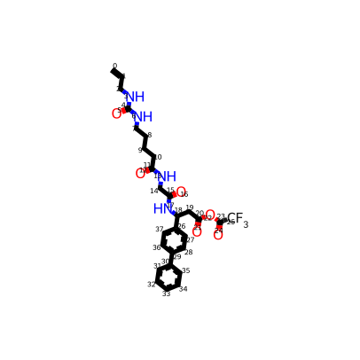 C=CCNC(=O)NCCCCC(=O)NCC(=O)NC(CC(=O)OC(=O)C(F)(F)F)c1ccc(-c2ccccc2)cc1